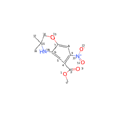 COC(=O)c1cc2c(cc1[N+](=O)[O-])OCC(C)(C)N2